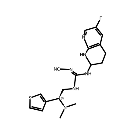 CN(C)[C@H](CNC(=NC#N)NC1CCc2cc(F)cnc2N1)c1ccsc1